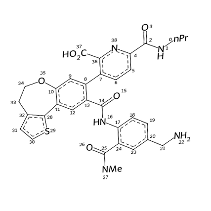 CCCNC(=O)c1ccc(-c2cc3c(cc2C(=O)Nc2ccc(CN)cc2C(=O)NC)-c2sccc2CCO3)c(C(=O)O)n1